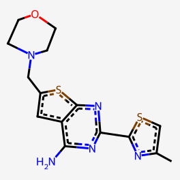 Cc1csc(-c2nc(N)c3cc(CN4CCOCC4)sc3n2)n1